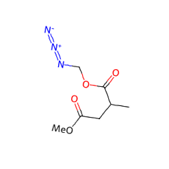 COC(=O)CC(C)C(=O)OCN=[N+]=[N-]